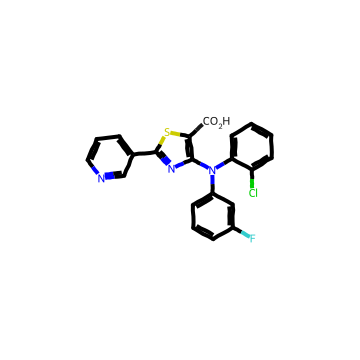 O=C(O)c1sc(-c2cccnc2)nc1N(c1cccc(F)c1)c1ccccc1Cl